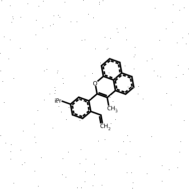 C=Cc1ccc(C(C)C)cc1C1=C(C)c2cccc3cccc(c23)O1